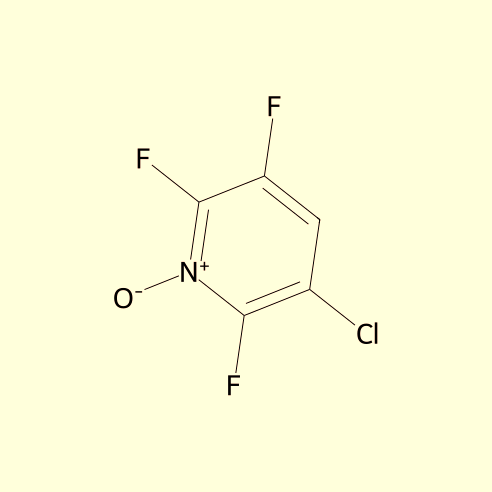 [O-][n+]1c(F)c(F)cc(Cl)c1F